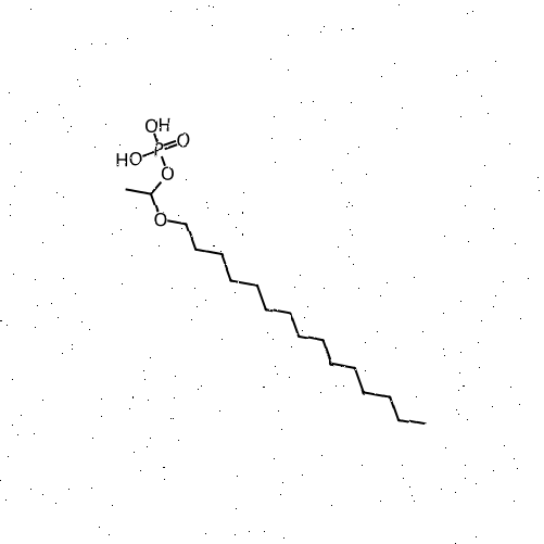 CCCCCCCCCCCCCCCOC(C)OP(=O)(O)O